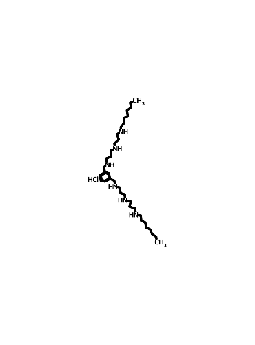 CCCCCCCCNCCCNCCCNCc1cccc(CNCCCNCCCNCCCCCCCC)c1.Cl